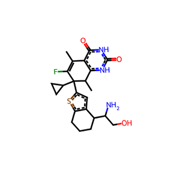 CC1=C(F)C(c2cc3c(s2)CCCC3C(N)CO)(C2CC2)C(C)c2[nH]c(=O)[nH]c(=O)c21